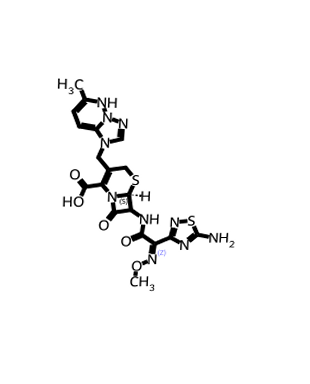 CO/N=C(\C(=O)NC1C(=O)N2C(C(=O)O)=C(CN3C=NN4NC(C)=CC=C34)CS[C@@H]12)c1nsc(N)n1